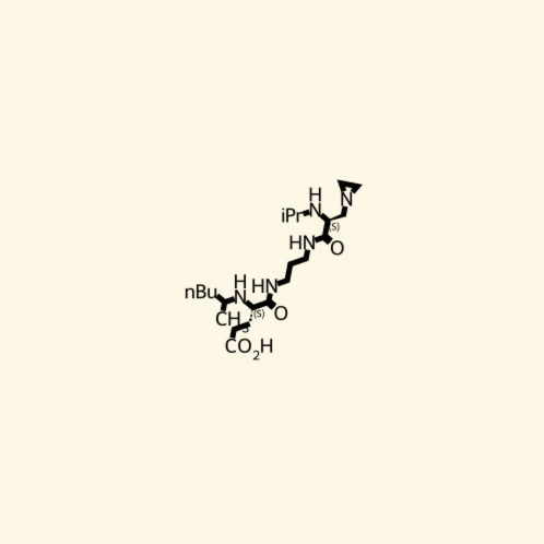 CCCCC(C)N[C@@H](CCC(=O)O)C(=O)NCCCNC(=O)[C@H](CN1CC1)NC(C)C